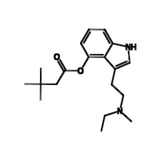 CCN(C)CCc1c[nH]c2cccc(OC(=O)CC(C)(C)C)c12